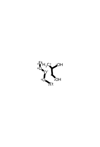 CC(O)CO.CCOOOCC